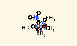 Cc1ccc2c(c1)c1cc(C)ccc1n2-c1cc(-c2nc(-c3ccccc3)nc(-c3ccccc3)n2)cc(-n2c3ccc(C)cc3c3cc(C)ccc32)c1-n1c2cccnc2c2ncccc21